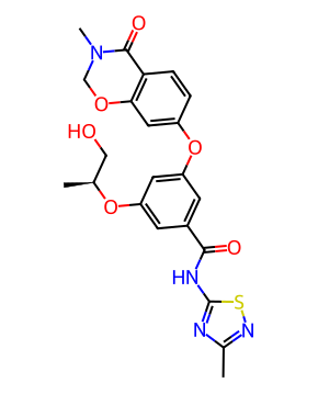 Cc1nsc(NC(=O)c2cc(Oc3ccc4c(c3)OCN(C)C4=O)cc(O[C@@H](C)CO)c2)n1